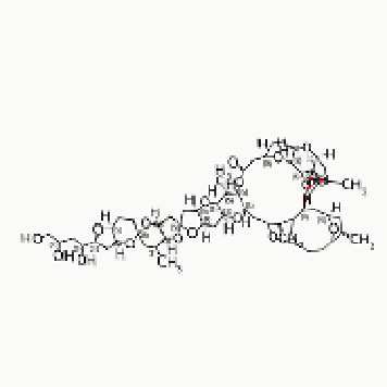 C=C1C[C@@H]2C[C@@H]3C4CC(CCC1O2)OC(C[C@@H]1O[C@H]2C[C@H]5O[C@@]6(C[C@@H]7O[C@]8(CC[C@@H]9O[C@H]([C@@H](O)C[C@@H](O)CO)C[C@@H]9O8)C[C@H](C)[C@@H]7O6)C[C@H]5O[C@H]2[C@H](C)[C@@H]1OC(=O)C[C@H]1CC[C@@H]2O[C@H]5CO[C@@]36CCC(C)O[C@@H]5[C@@H](O6)[C@H]2O1)C4=C